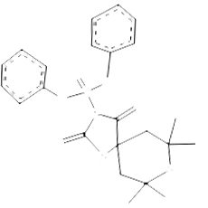 CC1(C)CC2(CC(C)(C)N1)NC(=S)N(P(=O)(Oc1ccccc1)Oc1ccccc1)C2=S